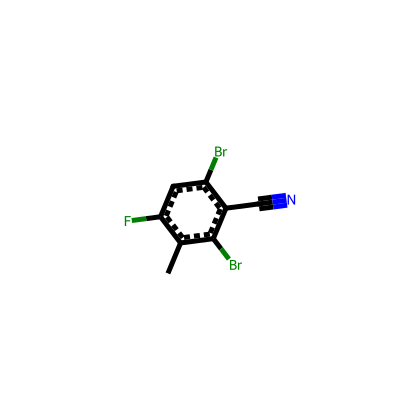 Cc1c(F)cc(Br)c(C#N)c1Br